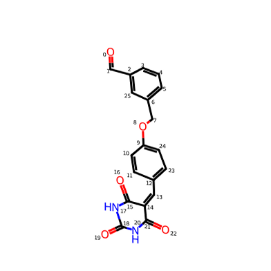 O=Cc1cccc(COc2ccc(C=C3C(=O)NC(=O)NC3=O)cc2)c1